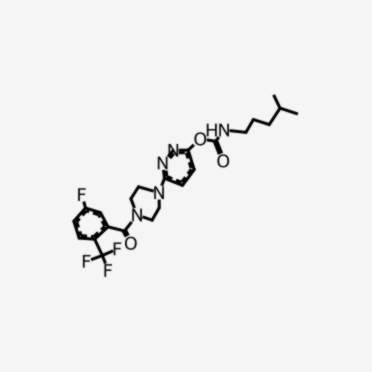 CC(C)CCCNC(=O)Oc1ccc(N2CCN(C(=O)c3cc(F)ccc3C(F)(F)F)CC2)nn1